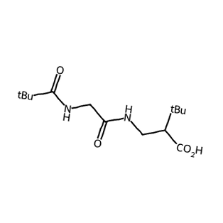 CC(C)(C)C(=O)NCC(=O)NCC(C(=O)O)C(C)(C)C